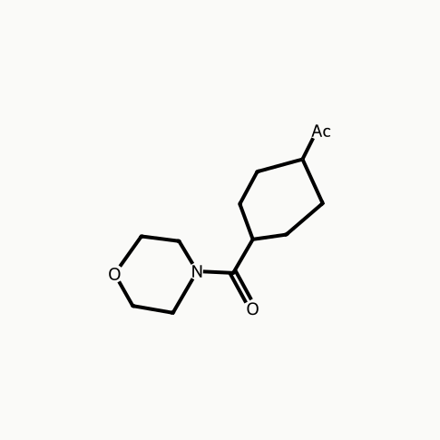 CC(=O)C1CCC(C(=O)N2CCOCC2)CC1